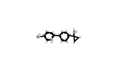 CC(=O)C1(c2ccc(-c3ccc(Br)cn3)cc2)CC1